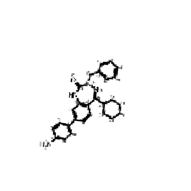 Nc1ccc(-c2ccc3c(c2)NC(=O)N(Cc2ccccc2)N=C3C2CCCCC2)cc1